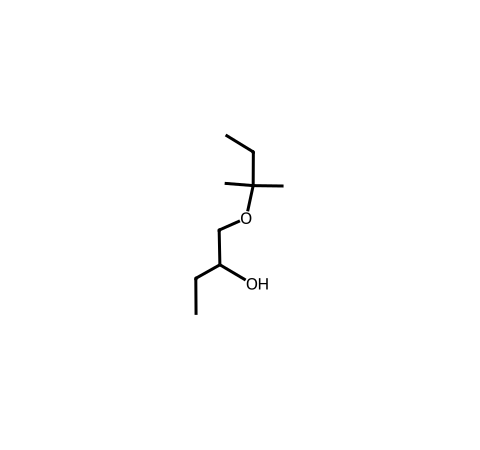 CCC(O)COC(C)(C)CC